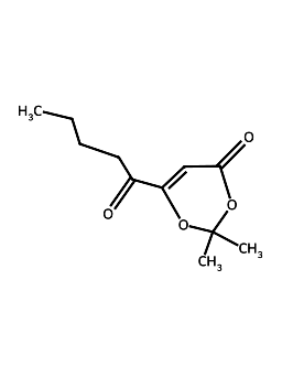 CCCCC(=O)C1=CC(=O)OC(C)(C)O1